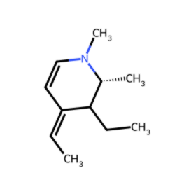 C/C=C1/C=CN(C)[C@H](C)C1CC